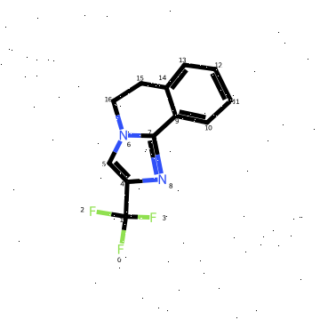 FC(F)(F)c1cn2c(n1)-c1ccccc1CC2